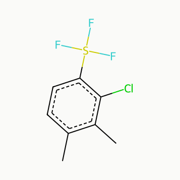 Cc1ccc(S(F)(F)F)c(Cl)c1C